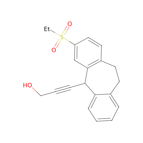 CCS(=O)(=O)c1ccc2c(c1)C(C#CCO)c1ccccc1CC2